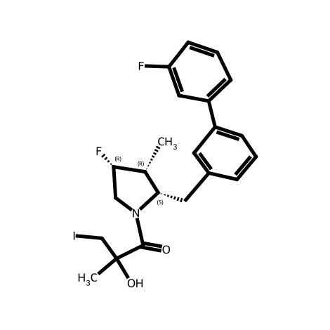 C[C@H]1[C@@H](F)CN(C(=O)C(C)(O)CI)[C@H]1Cc1cccc(-c2cccc(F)c2)c1